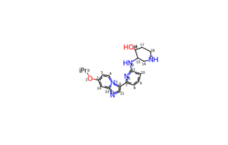 CC(C)Oc1ccn2c(-c3cccc(NC4CNCCC4O)n3)cnc2c1